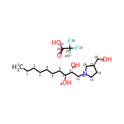 CCCCCCC[C@H](O)[C@H](O)CN1CC[C@H](CO)C1.O=C(O)C(F)(F)F